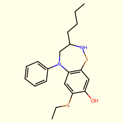 CCCCC1CN(c2ccccc2)c2cc(SCC)c(O)cc2SN1